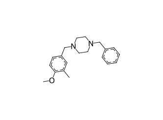 COc1ccc(CN2CCN(Cc3ccccc3)CC2)cc1C